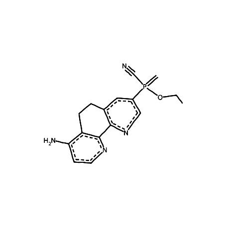 C=P(C#N)(OCC)c1cnc2c(c1)CCc1c(N)ccnc1-2